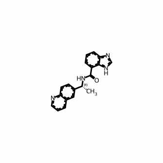 C[C@@H](NC(=O)c1cccc2nc[nH]c12)c1ccc2ncccc2c1